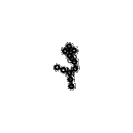 c1ccc(-c2ccc(-c3nc(-c4ccc(-c5ccccc5)cc4)nc(-c4cccc(-c5ccc6c(c5)Oc5ccc7c(c5O6)-c5ccccc5C7(c5ccccc5)c5ccccc5)c4)n3)cc2)cc1